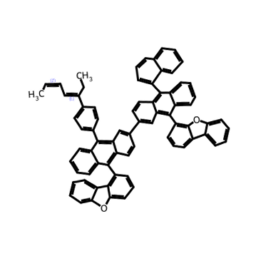 C/C=C\C=C(/CC)c1ccc(-c2c3ccccc3c(-c3cccc4oc5ccccc5c34)c3ccc(-c4ccc5c(-c6cccc7ccccc67)c6ccccc6c(-c6cccc7c6oc6ccccc67)c5c4)cc23)cc1